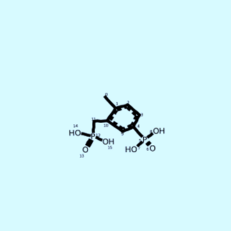 Cc1ccc(P(=O)(O)O)cc1CP(=O)(O)O